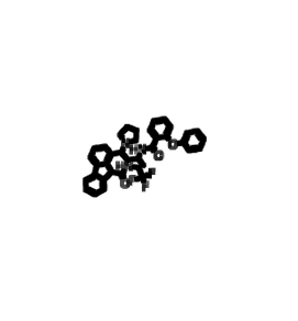 CC(CC(c1cccc2c1C(C(=O)NCC(F)(F)F)c1ccccc1-2)N1CCCC1)NC(=O)c1ccccc1Oc1ccccc1